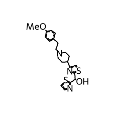 COc1ccc(CCN2CCC(c3csc(C(O)c4nccs4)n3)CC2)cc1